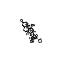 C[C@]12C=CC(=O)C=C1CC[C@@H]1[C@@H]2[C@@H](O)C[C@@]2(C)[C@H]1C[C@H]1O[C@@H](C3CCC3)O[C@]12C(=O)CO